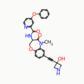 CN1C(=O)C(NC(=O)c2cc(Oc3ccccc3)ccn2)COc2ccc(C#CC3(O)CNC3)cc21